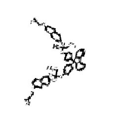 CCC(O)(Oc1ccc(C2(c3ccc(OC(O)(CC)Oc4ccc5cc(OCC6CO6)ccc5c4)cc3)c3ccccc3-c3ccccc32)cc1)Oc1ccc2cc(OCC3CO3)ccc2c1